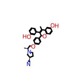 CC1=C(c2cccc(O)c2)C(c2ccc(OC[C@H](C)N3CC[C@@H](C#N)C3)cc2)Oc2ccc(O)cc21